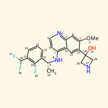 COc1cc2nccc(N[C@H](C)c3cccc(C(F)F)c3F)c2cc1C1(O)CNC1